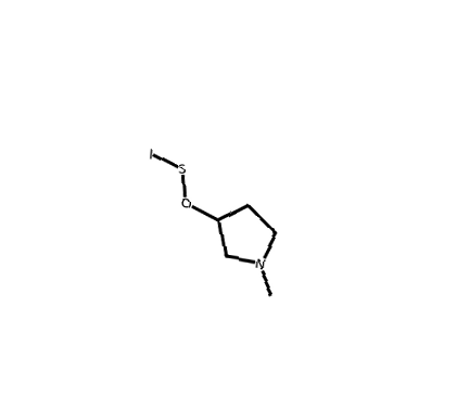 CN1CCC(OSI)C1